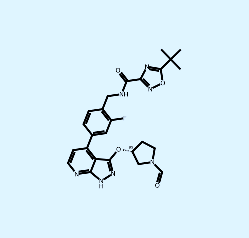 CC(C)(C)c1nc(C(=O)NCc2ccc(-c3ccnc4[nH]nc(O[C@@H]5CCN(C=O)C5)c34)cc2F)no1